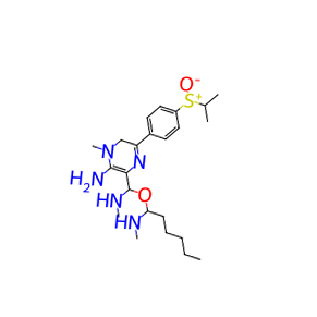 CCCCCC(NC)OC(NC)C1=C(N)N(C)CC(c2ccc([S+]([O-])C(C)C)cc2)=N1